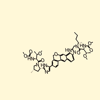 CCC[C@H](C)N(Cc1nc2ccc3cc4c(cc3c2[nH]1)OCc1cc(-c2cnc([C@@H]3C[C@H](C)CN3C(=O)[C@@H](NC(=O)OC)[C@@H](C)OC)[nH]2)ccc1-4)C(=O)[C@@H](NC(=O)OC)[C@@H](C)OC